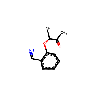 CC(=O)C(C)Oc1ccccc1C=N